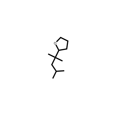 CC(C)CC(C)(C)C1CCCO1